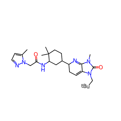 Cc1ccnn1CC(=O)NC1CC(C2CC=c3c(n(C)c(=O)n3CC(C)(C)C)=N2)CCC1(C)C